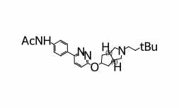 CC(=O)Nc1ccc(-c2ccc(OC3C[C@@H]4CN(CCC(C)(C)C)C[C@@H]4C3)nn2)cc1